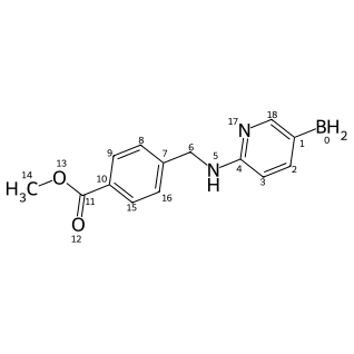 Bc1ccc(NCc2ccc(C(=O)OC)cc2)nc1